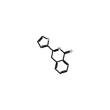 O=C1N=C(c2cccs2)Cc2ccccc21